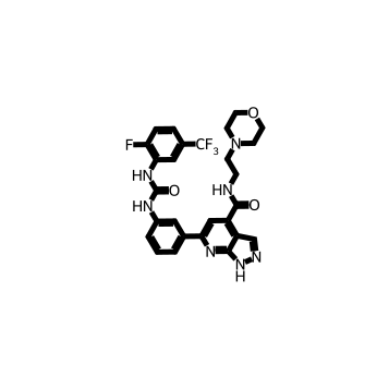 O=C(Nc1cccc(-c2cc(C(=O)NCCN3CCOCC3)c3cn[nH]c3n2)c1)Nc1cc(C(F)(F)F)ccc1F